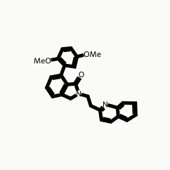 COc1ccc(OC)c(-c2cccc3c2C(=O)N(CCc2ccc4ccccc4n2)C3)c1